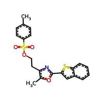 Cc1ccc(S(=O)(=O)OCCc2nc(-c3cc4ccccc4s3)oc2C)cc1